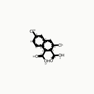 O=C(O)c1c(Cl)cc2cc(Cl)ccc2c1C(=O)O